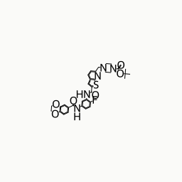 CC(C)(C)OC(=O)N1CCN(Cc2ccc3cc(C(=O)Nc4cc(NC(=O)c5ccc6c(c5)OCCO6)ccc4F)sc3n2)CC1